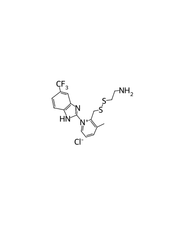 Cc1ccc[n+](-c2nc3cc(C(F)(F)F)ccc3[nH]2)c1CSSCCN.[Cl-]